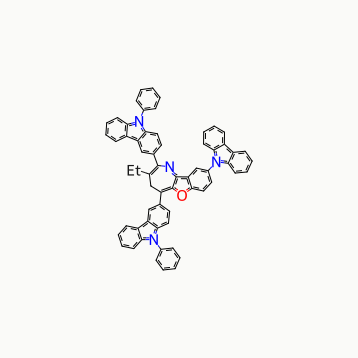 CCC1=C(c2ccc3c(c2)c2ccccc2n3-c2ccccc2)N=c2c(oc3ccc(-n4c5ccccc5c5ccccc54)cc23)=C(c2ccc3c(c2)c2ccccc2n3-c2ccccc2)C1